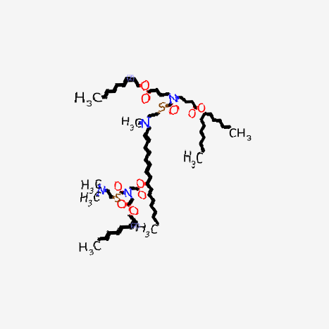 CCCCCC/C=C\COC(=O)CCCN(CCCC(=O)OC(CCCCCC)CCCCCCC)C(=O)SCCN(C)CCCCCCCCCC(CCCCCCCC)OC(=O)CN(CC(=O)OC/C=C\CCCCCC)C(=O)SCCN(C)C